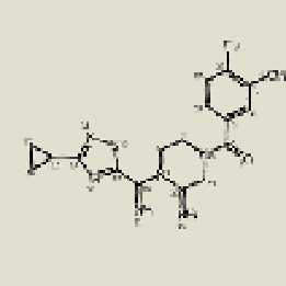 Cc1cc(C(=O)N2CCN(C(=N)c3nc(C4CC4)ns3)C(=N)C2)ccc1F